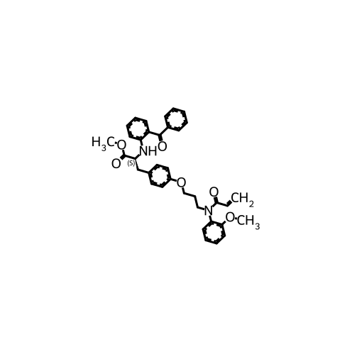 C=CC(=O)N(CCCOc1ccc(C[C@H](Nc2ccccc2C(=O)c2ccccc2)C(=O)OC)cc1)c1ccccc1OC